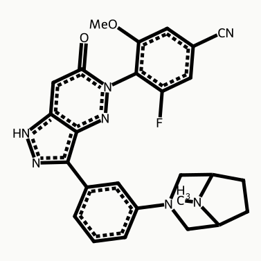 COc1cc(C#N)cc(F)c1-n1nc2c(-c3cccc(N4CC5CCC(C4)N5C)c3)n[nH]c2cc1=O